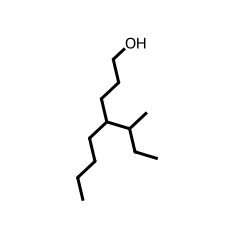 CCCCC(CCCO)C(C)CC